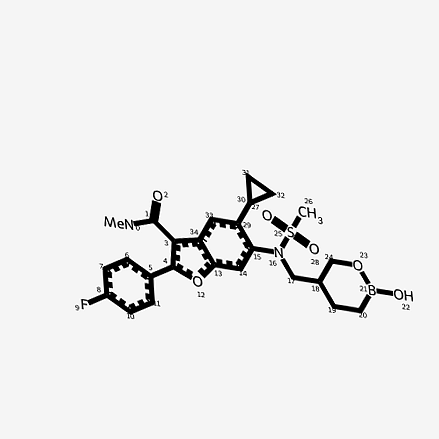 CNC(=O)c1c(-c2ccc(F)cc2)oc2cc(N(CC3CCB(O)OC3)S(C)(=O)=O)c(C3CC3)cc12